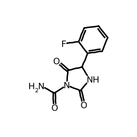 NC(=O)N1C(=O)NC(c2ccccc2F)C1=O